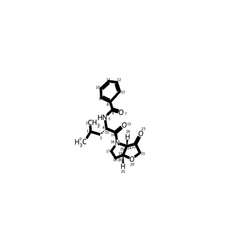 CC(C)C[C@H](NC(=O)c1ccccc1)C(=O)N1CC[C@H]2OCC(=O)[C@H]21